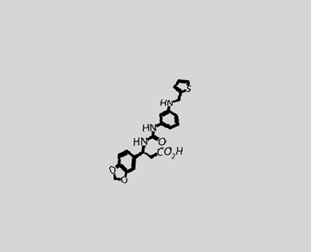 O=C(O)C[C@H](NC(=O)Nc1cccc(NCc2cccs2)c1)c1ccc2c(c1)OCO2